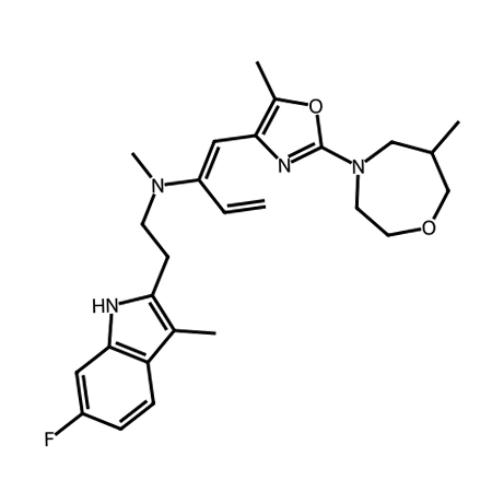 C=C/C(=C\c1nc(N2CCOCC(C)C2)oc1C)N(C)CCc1[nH]c2cc(F)ccc2c1C